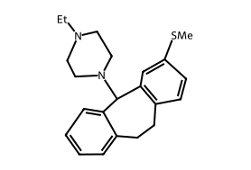 CCN1CCN(C2c3ccccc3CCc3ccc(SC)cc32)CC1